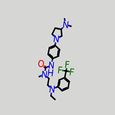 CCN(CCN(C)C(=O)Nc1ccc(N2CCC(N(C)C)C2)cc1)c1cccc(C(F)(F)F)c1